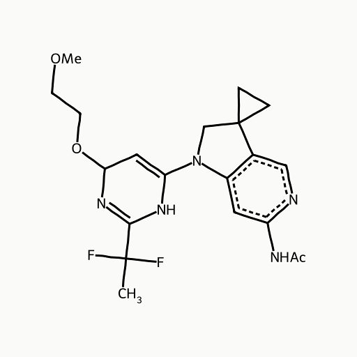 COCCOC1C=C(N2CC3(CC3)c3cnc(NC(C)=O)cc32)NC(C(C)(F)F)=N1